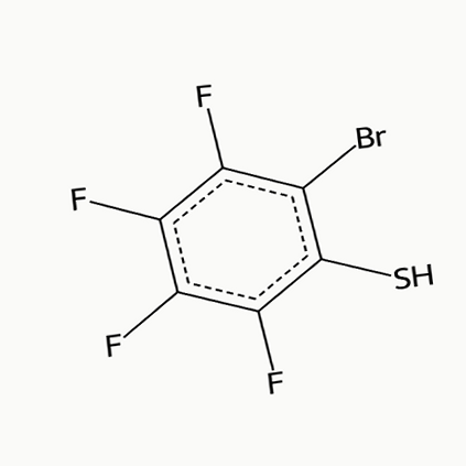 Fc1c(F)c(F)c(Br)c(S)c1F